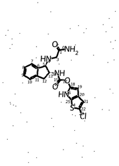 NC(=O)CN[C@@H]1c2ccccc2C[C@H]1NC(=O)Oc1cc2cc(Cl)sc2[nH]1